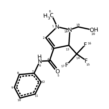 CN1C=C(C(=O)Nc2ccccc2)C(C(F)(F)F)N1CO